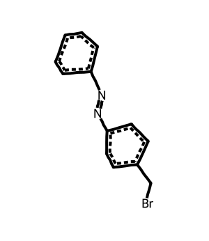 BrCc1ccc(N=Nc2ccccc2)cc1